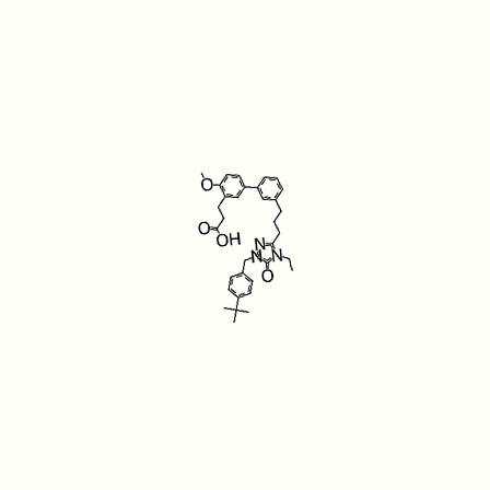 CCn1c(CCCc2cccc(-c3ccc(OC)c(CCC(=O)O)c3)c2)nn(Cc2ccc(C(C)(C)C)cc2)c1=O